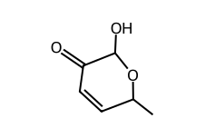 CC1C=CC(=O)C(O)O1